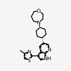 Cc1csc(-c2c[nH]c3ncc([C@H]4CC[C@H](N5CCCOCC5)CC4)cc23)n1